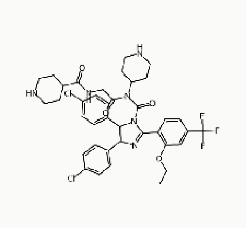 CCOc1cc(C(F)(F)F)ccc1C1=NC(c2ccc(Cl)cc2)C(c2ccc(Cl)cc2)N1C(=O)N(C(=O)CNC(=O)C1CCNCC1)C1CCNCC1